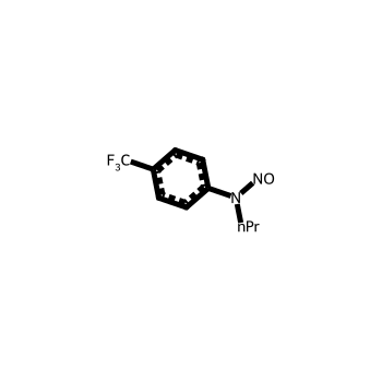 CCCN(N=O)c1ccc(C(F)(F)F)cc1